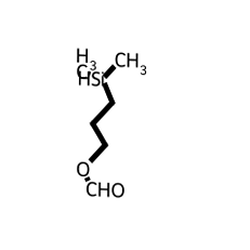 C[SiH](C)CCCOC=O